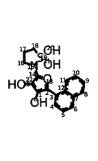 Oc1c(-c2cccc3ccccc23)oc(N2CCCS2(O)O)c1O